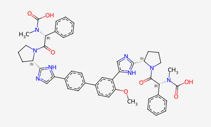 COc1ccc(-c2ccc(-c3cnc([C@@H]4CCCN4C(=O)[C@@H](c4ccccc4)N(C)C(=O)O)[nH]3)cc2)cc1-c1cnc([C@@H]2CCCN2C(=O)[C@@H](c2ccccc2)N(C)C(=O)O)[nH]1